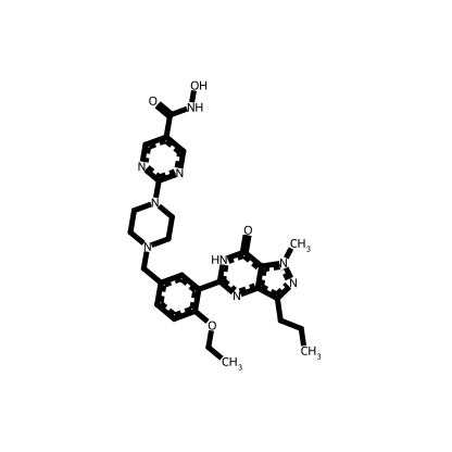 CCCc1nn(C)c2c(=O)[nH]c(-c3cc(CN4CCN(c5ncc(C(=O)NO)cn5)CC4)ccc3OCC)nc12